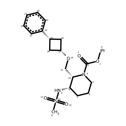 CC(C)OC(=O)N1CCC[C@H](NS(C)(=O)=O)[C@@H]1CO[C@H]1C[C@@H](c2ccccc2)C1